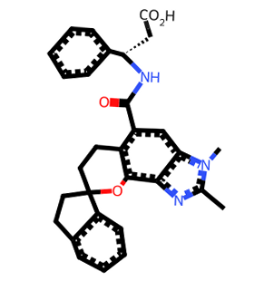 Cc1nc2c3c(c(C(=O)N[C@@H](CC(=O)O)c4ccccc4)cc2n1C)CCC1(CCc2ccccc21)O3